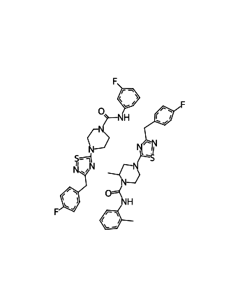 Cc1ccccc1NC(=O)N1CCN(c2nc(Cc3ccc(F)cc3)ns2)CC1C.O=C(Nc1cccc(F)c1)N1CCN(c2nc(Cc3ccc(F)cc3)ns2)CC1